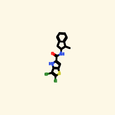 CC1c2ccccc2CC1NC(=O)c1cc2sc(Cl)c(Cl)c2[nH]1